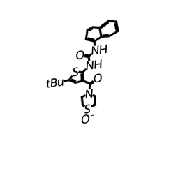 CC(C)(C)c1cc(C(=O)N2CC[S+]([O-])CC2)c(NC(=O)Nc2cccc3ccccc23)s1